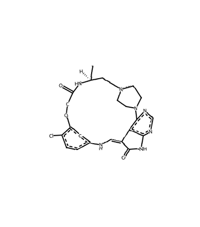 C[C@H]1CN2CCN(CC2)c2ncnc3c2/C(=C/Nc2ccc(Cl)c(c2)OCC(=O)N1)C(=O)N3